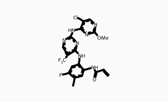 C=CC(=O)Nc1cc(C)c(F)cc1Nc1nc(Nc2nc(OC)ncc2Cl)ncc1C(F)(F)F